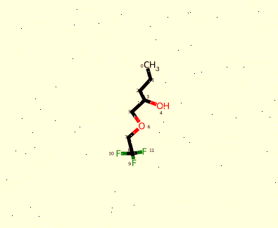 CCCC(O)COCC(F)(F)F